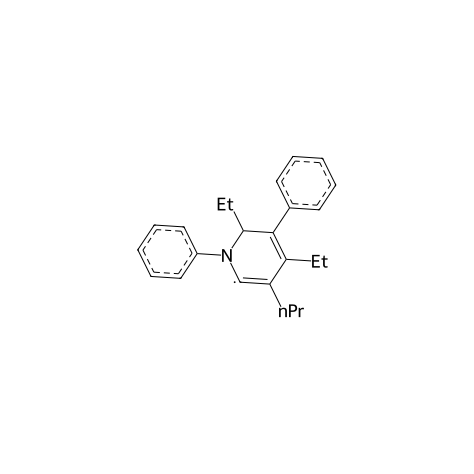 CCCC1=[C]N(c2ccccc2)C(CC)C(c2ccccc2)=C1CC